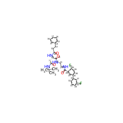 CC(C)(C)NC(=O)C[C@H](NC(=O)CCc1ccccc1)C(=O)NCCNC(=O)c1cc(-c2cccc(F)c2)ccc1F